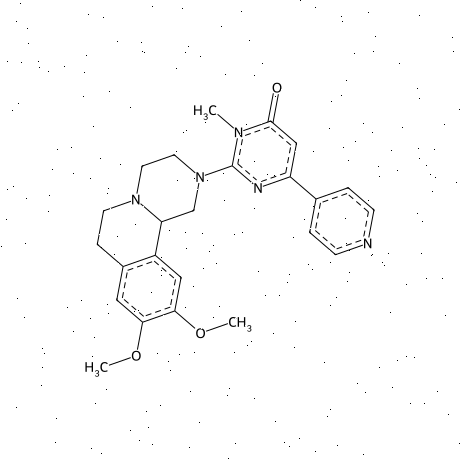 COc1cc2c(cc1OC)C1CN(c3nc(-c4ccncc4)cc(=O)n3C)CCN1CC2